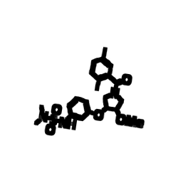 COC1CN(C(=O)c2cc(C)ccc2C)CC1Oc1cccc(NS(=O)(=O)N(C)C)c1